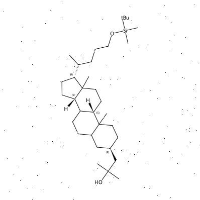 CC(CCCO[Si](C)(C)C(C)(C)C)[C@H]1CC[C@H]2C3CCC4C[C@H](CC(C)(C)O)CCC4(C)[C@H]3CCC12C